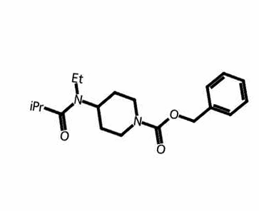 CCN(C(=O)C(C)C)C1CCN(C(=O)OCc2ccccc2)CC1